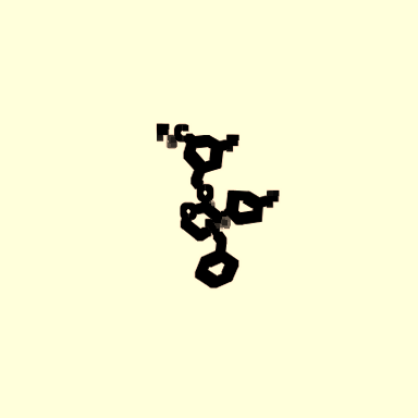 Fc1ccc([C@H]2[C@H](OCc3cc(F)cc(C(F)(F)F)c3)OCCN2Cc2ccccc2)cc1